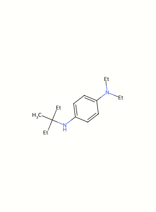 CCN(CC)c1ccc(NC(C)(CC)CC)cc1